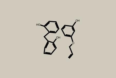 C=CCOc1cccc(O)c1.Oc1ccccc1Cc1ccccc1O